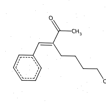 CCCCC/C(=C\c1ccccc1)C(C)=O